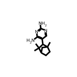 CC12CCC(C1)C(C)(C)C2c1cnc(N)nc1N